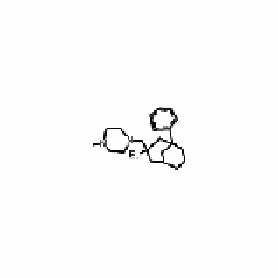 CCC1(CN2CCN(C)CC2)CC2CCCC(c3ccccc3)(C2)C1